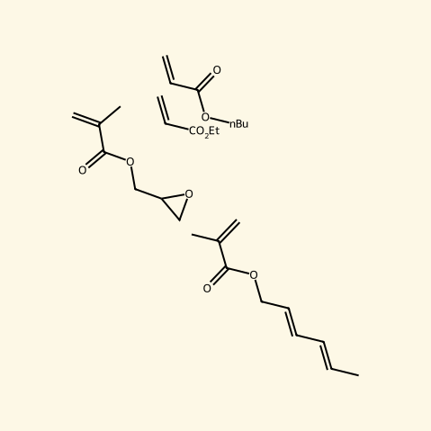 C=C(C)C(=O)OCC1CO1.C=C(C)C(=O)OCC=CC=CC.C=CC(=O)OCC.C=CC(=O)OCCCC